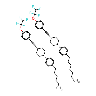 CCCCCCCc1ccc([C@H]2CC[C@H](C#Cc3ccc(OC(F)(F)C(F)F)cc3)CC2)cc1.CCCCCCc1ccc([C@H]2CC[C@H](C#Cc3ccc(OC(F)(F)C(F)F)cc3)CC2)cc1